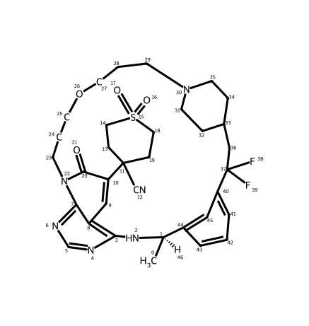 C[C@H]1Nc2ncnc3c2cc(C2(C#N)CCS(=O)(=O)CC2)c(=O)n3CCCOCCCN2CCC(CC2)CC(F)(F)c2cccc1c2